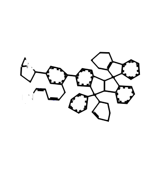 N/C=C\C=C/Cc1cc(C2CCC3C[N@]32)ccc1-c1ccc2c(c1)C(c1ccccc1)(C1C=CCCC1)C1c3ccccc3C3(C4=C(CCCC4)c4ccccc43)C21